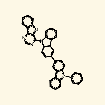 C1=CC2C(C=C1c1ccc3c(c1)c1ccccc1n3-c1ccccc1)c1ccccc1N2c1ncnc2c1oc1ccccc12